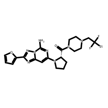 CCC(F)(F)CN1CCN(C(=O)[C@@H]2CCCN2c2cc3nc(-c4ccco4)nn3c(N)n2)CC1